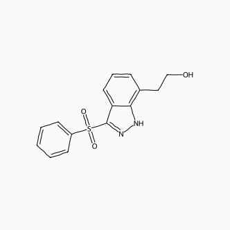 O=S(=O)(c1ccccc1)c1n[nH]c2c(CCO)cccc12